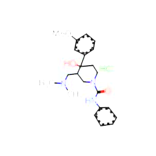 COc1cccc(C2(O)CCN(C(=O)Nc3ccccc3)CC2CN(C)C)c1.Cl